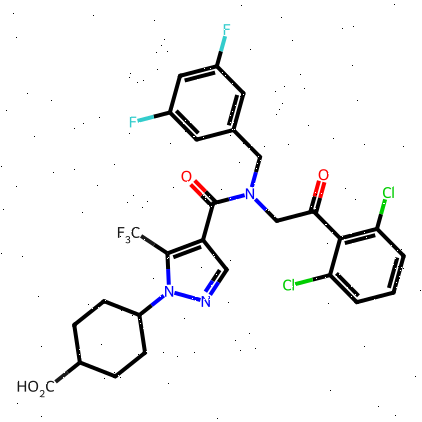 O=C(CN(Cc1cc(F)cc(F)c1)C(=O)c1cnn(C2CCC(C(=O)O)CC2)c1C(F)(F)F)c1c(Cl)cccc1Cl